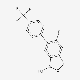 OB1OCc2cc(F)c(-c3ccc(C(F)(F)F)cc3)cc21